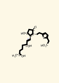 C[C@@H](O)CCC[C@H](O)/C=C/[C@@H]1[C@@H](CCc2ccc(CC(=O)O)s2)[C@H](Cl)C[C@H]1O